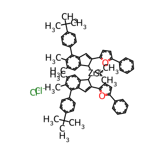 Cc1cc2c(c(-c3ccc(C(C)(C)C)cc3)c1C)C=C(c1ccc(-c3ccccc3)o1)[CH]2[Zr+2]([CH]1C(c2ccc(-c3ccccc3)o2)=Cc2c1cc(C)c(C)c2-c1ccc(C(C)(C)C)cc1)=[Si](C)C.[Cl-].[Cl-]